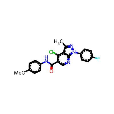 COc1ccc(NC(=O)c2cnc3c(c(C)nn3-c3ccc(F)cc3)c2Cl)cc1